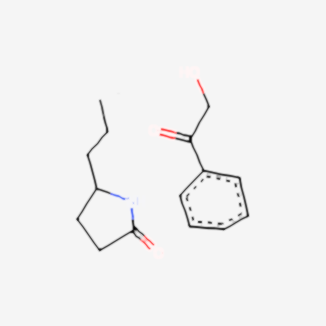 CCCCCCCCCCCCC1CCC(=O)N1.O=C(CO)c1ccccc1